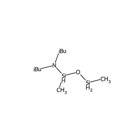 CCC(C)N(C(C)CC)[SiH](C)O[SiH2]C